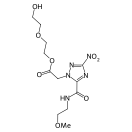 COCCNC(=O)c1nc([N+](=O)[O-])nn1CC(=O)OCCOCCO